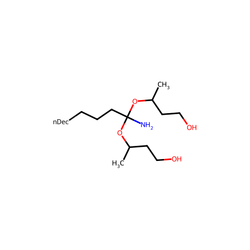 CCCCCCCCCCCCCC(N)(OC(C)CCO)OC(C)CCO